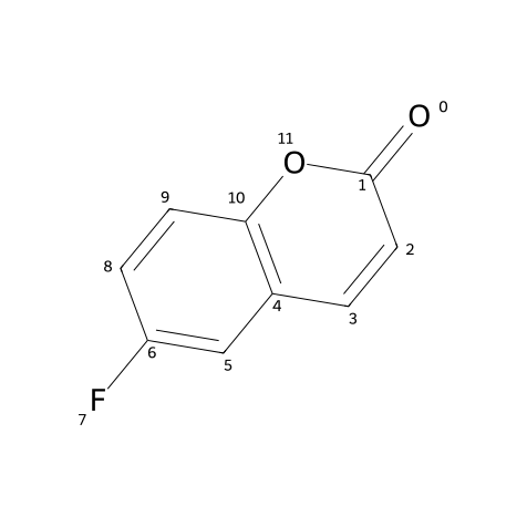 O=c1ccc2cc(F)ccc2o1